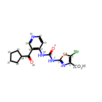 O=C(Nc1nc(C(=O)O)c(Br)s1)Nc1ccncc1C(=O)C1CCCC1